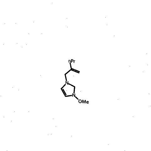 C=C(CCC)CN1C=CN(OC)C1